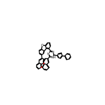 c1ccc(-c2ccc(C3N=C(c4cccc5oc6ccc(-c7ccc8ccccc8c7)cc6c45)N=C(c4ccc5ccccc5c4)N3)cc2)cc1